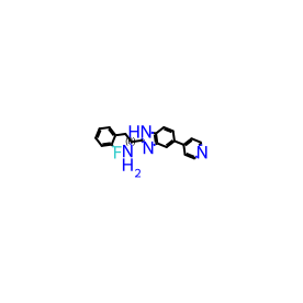 N[C@H](Cc1ccccc1F)c1nc2cc(-c3ccncc3)ccc2[nH]1